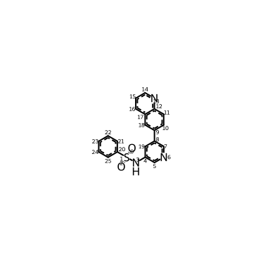 O=S(=O)(Nc1cncc(-c2ccc3ncccc3c2)c1)c1ccccc1